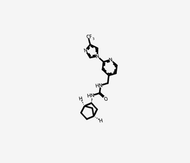 O=C(NCc1ccnc(-n2cnc(C(F)(F)F)c2)c1)N[C@@H]1C[C@H]2CC[C@@H]1C2